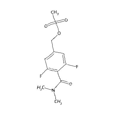 CN(C)C(=O)c1c(F)cc(COS(C)(=O)=O)cc1F